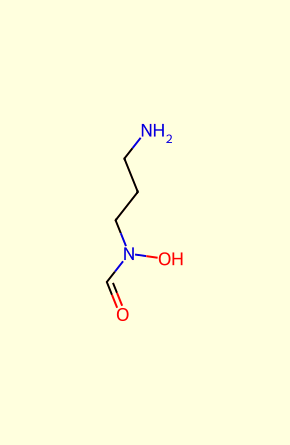 NCCCN(O)C=O